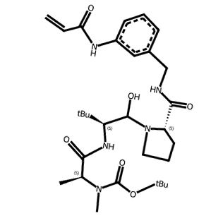 C=CC(=O)Nc1cccc(CNC(=O)[C@@H]2CCCN2C(O)[C@@H](NC(=O)[C@H](C)N(C)C(=O)OC(C)(C)C)C(C)(C)C)c1